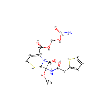 COC1(NC(=O)Cc2cccs2)C(=O)N2C(C(=O)OCOC(N)=O)=CCSC21